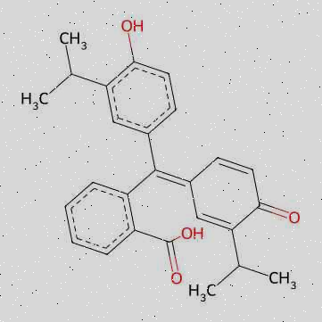 CC(C)C1=C/C(=C(/c2ccc(O)c(C(C)C)c2)c2ccccc2C(=O)O)C=CC1=O